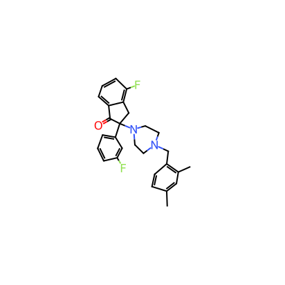 Cc1ccc(CN2CCN(C3(c4cccc(F)c4)Cc4c(F)cccc4C3=O)CC2)c(C)c1